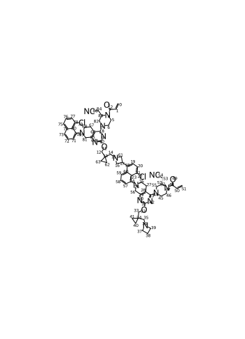 C=CC(=O)N1CCN(c2nc(OCC3(CN4CC(c5ccc(Cl)c6c(N7CCc8c(nc(OCC9(CN%10CCC%10)CC9)nc8N8CCN(C(=O)C=C)[C@@H](CC#N)C8)C7)cccc56)C4)CC3)nc3c2CCN(c2cccc4cccc(Cl)c24)C3)CC1CC#N